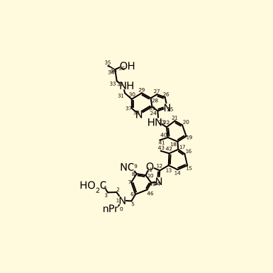 CCCN(CCC(=O)O)Cc1cc(C#N)c2oc(-c3cccc(-c4cccc(Nc5nccc6cc(CNC[C@@H](C)O)cnc56)c4C)c3C)nc2c1